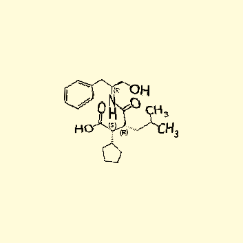 CC(C)C[C@@H](C(=O)N[C@H](CO)Cc1ccccc1)[C@@H](C(=O)O)C1CCCC1